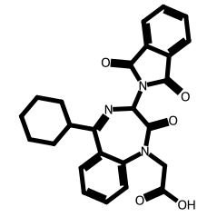 O=C(O)CN1C(=O)C(N2C(=O)c3ccccc3C2=O)N=C(C2CCCCC2)c2ccccc21